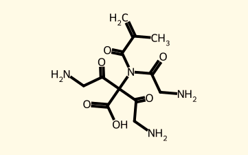 C=C(C)C(=O)N(C(=O)CN)C(C(=O)O)(C(=O)CN)C(=O)CN